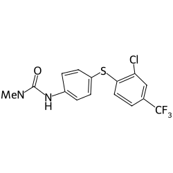 CNC(=O)Nc1ccc(Sc2ccc(C(F)(F)F)cc2Cl)cc1